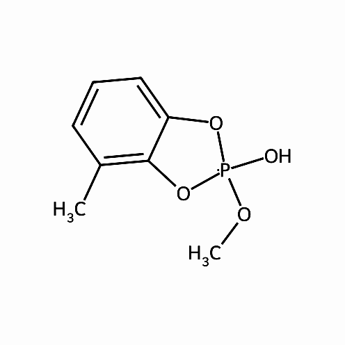 CO[P]1(O)Oc2cccc(C)c2O1